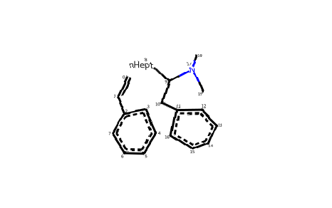 C=Cc1ccccc1.CCCCCCCC(Cc1ccccc1)N(C)C